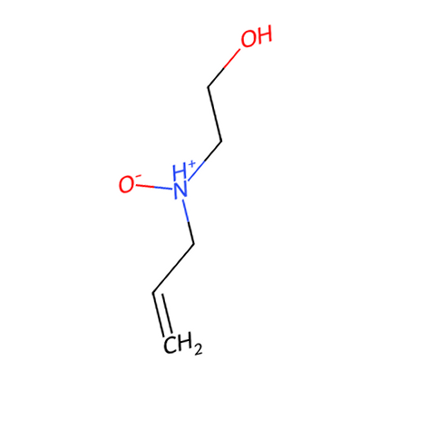 C=CC[NH+]([O-])CCO